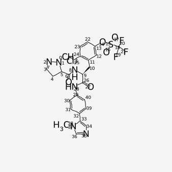 CN1N=CCC1C(=O)N[C@@H](Cc1cc(OS(=O)(=O)C(F)(F)F)ccc1Cl)C(=O)Nc1ccc(-c2cncn2C)cc1